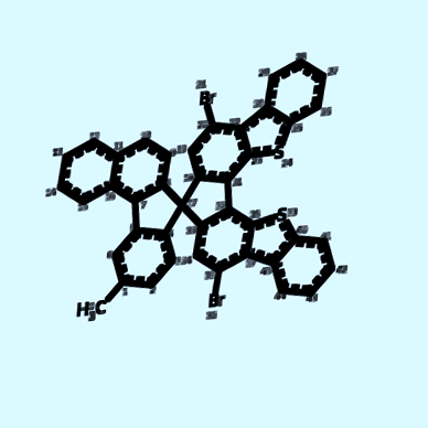 Cc1ccc2c(c1)-c1c(ccc3ccccc13)C21c2cc(Br)c3c(sc4ccccc43)c2-c2c1cc(Br)c1c2sc2ccccc21